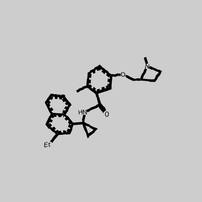 CCc1cc(C2(NC(=O)c3cc(OCC4CCN4C)ccc3C)CC2)c2ccccc2c1